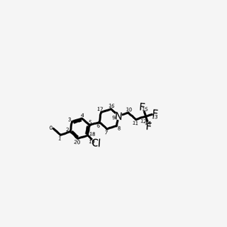 CCc1ccc(C2CCN(CCC(F)(F)F)CC2)c(Cl)c1